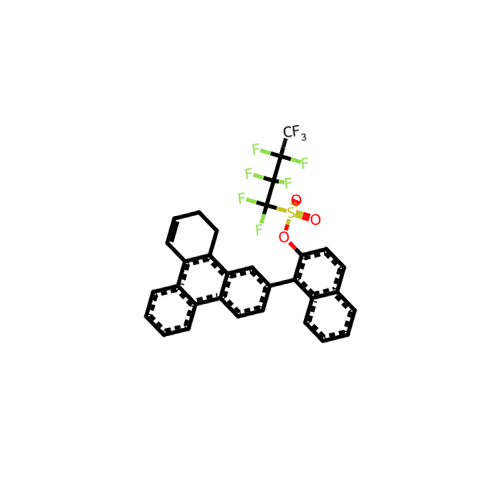 O=S(=O)(Oc1ccc2ccccc2c1-c1ccc2c(c1)c1c(c3ccccc32)C=CCC1)C(F)(F)C(F)(F)C(F)(F)C(F)(F)F